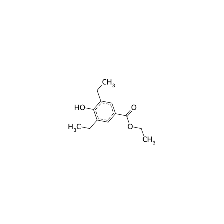 CCOC(=O)c1cc(CC)c(O)c(CC)c1